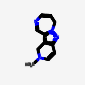 O=C(O)N1C=Cc2nn3c(c2C1)C=NC=CC3